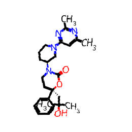 Cc1cc(N2CCC[C@H](N3CC[C@](CC(C)(C)O)(c4ccccc4)OC3=O)C2)nc(C)n1